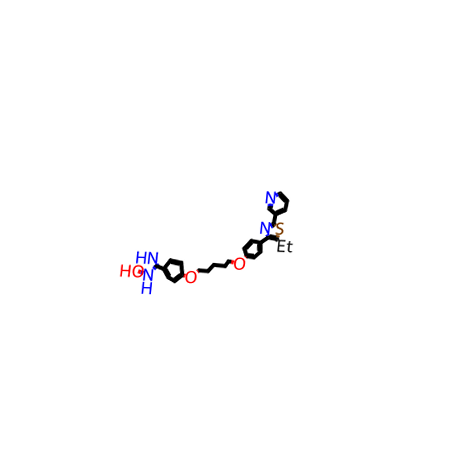 CCc1sc(-c2cccnc2)nc1-c1ccc(OCCCCCOc2ccc(C(=N)NO)cc2)cc1